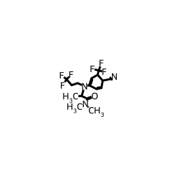 CC(C(=O)N(C)C)N(CCC(F)(F)F)C1=CC(C(F)(F)F)C(C#N)C=C1